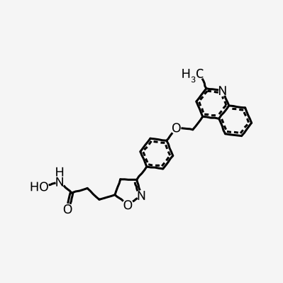 Cc1cc(COc2ccc(C3=NOC(CCC(=O)NO)C3)cc2)c2ccccc2n1